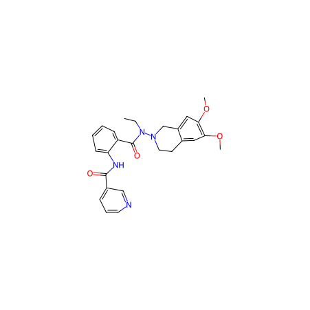 CCN(C(=O)c1ccccc1NC(=O)c1cccnc1)N1CCc2cc(OC)c(OC)cc2C1